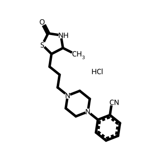 CC1NC(=O)SC1CCCN1CCN(c2ccccc2C#N)CC1.Cl